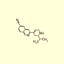 CC(C)C1CC(c2cc3cc(C#N)ccc3cn2)=CCN1